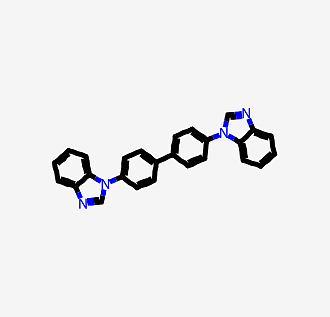 c1ccc2c(c1)ncn2-c1ccc(-c2ccc(-n3cnc4ccccc43)cc2)cc1